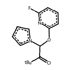 CC(C)(C)C(=O)C(Oc1cccc(F)n1)n1cccc1